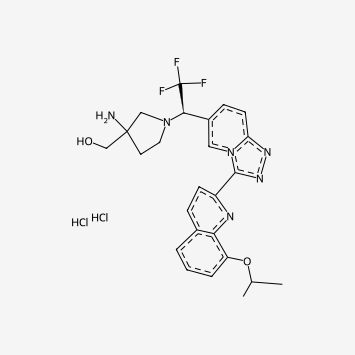 CC(C)Oc1cccc2ccc(-c3nnc4ccc([C@@H](N5CCC(N)(CO)C5)C(F)(F)F)cn34)nc12.Cl.Cl